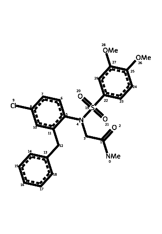 CNC(=O)CN(c1ccc(Cl)cc1Cc1ccccc1)S(=O)(=O)c1ccc(OC)c(OC)c1